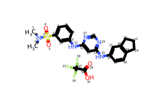 CN(C)S(=O)(=O)c1cccc(Nc2cc(Nc3ccc4c(c3)CCC4)ncn2)c1.O=C(O)C(F)(F)F